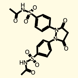 CC(=O)NS(=O)(=O)c1ccc(N2C(=O)CC(=O)N2c2ccc(S(=O)(=O)NC(C)=O)cc2)cc1